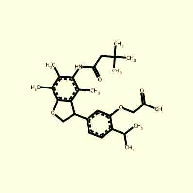 Cc1c(C)c2c(c(C)c1NC(=O)CC(C)(C)C)C(c1ccc(C(C)C)c(OCC(=O)O)c1)CO2